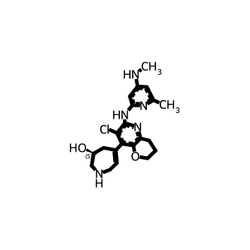 CNc1cc(C)nc(Nc2nc3c(c(C4=CCNC[C@@H](O)C4)c2Cl)OCCC3)c1